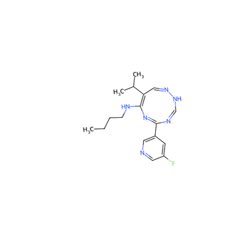 CCCCNc1nc(-c2cncc(F)c2)nc[nH]ncc1C(C)C